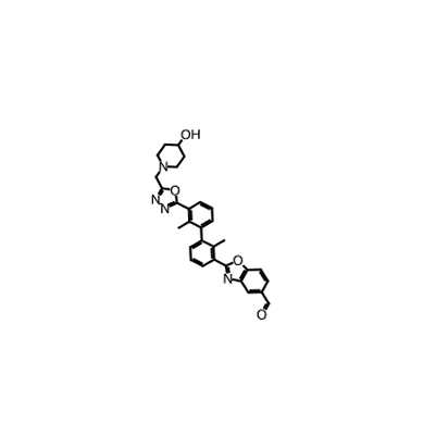 Cc1c(-c2nnc(CN3CCC(O)CC3)o2)cccc1-c1cccc(-c2nc3cc(C=O)ccc3o2)c1C